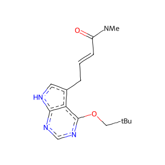 CNC(=O)C=CCc1c[nH]c2ncnc(OCC(C)(C)C)c12